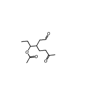 CCC(OC(C)=O)C(CC=O)CCC(C)=O